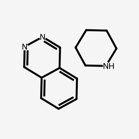 C1CCNCC1.c1ccc2cnncc2c1